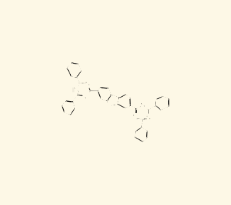 c1ccc(C2=NC(c3ccccc3)NC(c3ccc4c(c3)oc3cc(C5=NC(c6ccccc6)NC(c6ccccc6)=N5)ccc34)=N2)cc1